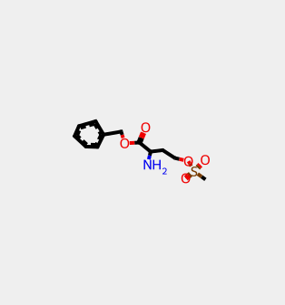 CS(=O)(=O)OCCC(N)C(=O)OCc1ccccc1